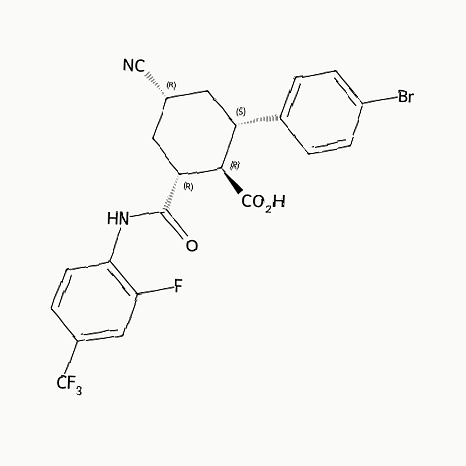 N#C[C@@H]1C[C@H](c2ccc(Br)cc2)[C@@H](C(=O)O)[C@H](C(=O)Nc2ccc(C(F)(F)F)cc2F)C1